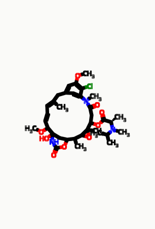 COc1cc2cc(c1Cl)N(C)C(=O)CC(OC(=O)[C@H](C)N(C)C(C)C)C1(C)OC1C(C)C1CC(O)(NC(=O)O1)C(OC)/C=C/C=C(\C)C2